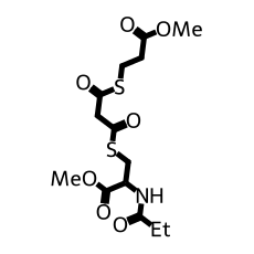 CCC(=O)NC(CSC(=O)CC(=O)SCCC(=O)OC)C(=O)OC